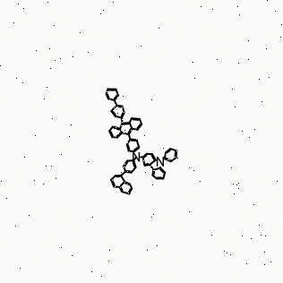 c1ccc(-c2ccc(-c3c4ccccc4c(-c4ccc(N(c5ccc(-c6cccc7ccccc67)cc5)c5ccc6c(c5)c5ccccc5n6-c5ccccc5)cc4)c4ccccc34)cc2)cc1